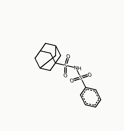 O=S(=O)(NS(=O)(=O)C12CC3CC(CC(C3)C1)C2)c1ccccc1